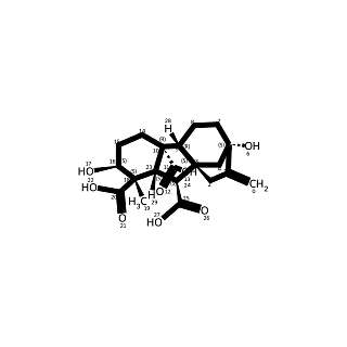 C=C1C[C@]23C[C@@]1(O)CC[C@H]2[C@]1(C(=O)O)CC[C@H](O)[C@@](C)(C(=O)O)[C@H]1[C@@H]3C(=O)O